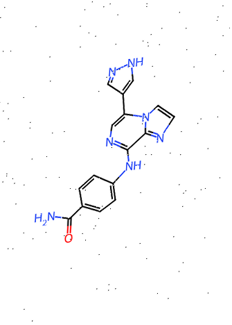 NC(=O)c1ccc(Nc2ncc(-c3cn[nH]c3)n3ccnc23)cc1